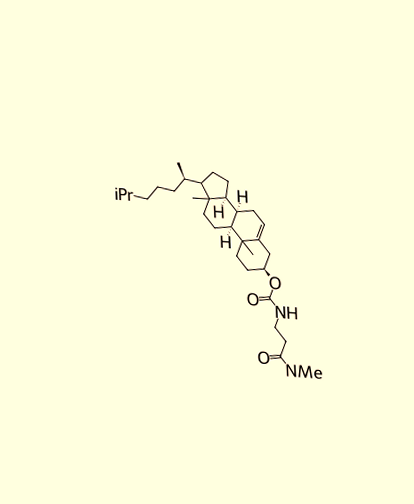 CNC(=O)CCNC(=O)O[C@H]1CCC2(C)C(=CC[C@H]3[C@@H]2CCC2(C)C([C@H](C)CCCC(C)C)CC[C@@H]32)C1